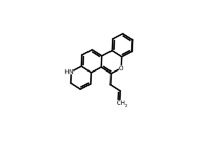 C=CCC1=C2C(=CC=C3NCC=CC32)c2ccccc2O1